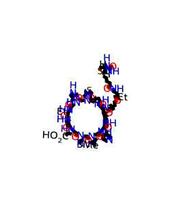 CC[C@@H]1NC(=O)[C@H](Cc2c[nH]cn2)NC(=O)[C@H](Cc2cscn2)NC(=O)[C@H]2CCCN2C(=O)[C@@H](NC(=O)C(C)(C)CCOC(C)(CC)CCNC(=O)CCCC[C@@H]2SC[C@@H]3NC(=O)N[C@@H]32)CCCNC(=O)[C@H](Cc2cccnc2)NC(=O)[C@H](CC2CC2)NC(=O)[C@H](CCSC)NC(=O)[C@H](CCC(=O)O)NC(=O)CNC1=O